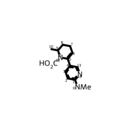 CNc1ccc(C2=CCCC(C)N2C(=O)O)cn1